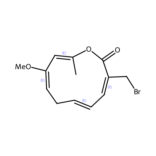 COC1=C/C/C=C/C=C(/CBr)C(=O)O\C(C)=C\1